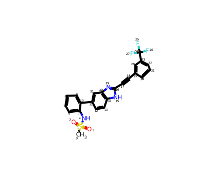 CS(=O)(=O)Nc1ccccc1-c1ccc2[nH]c(C#Cc3cccc(C(F)(F)F)c3)nc2c1